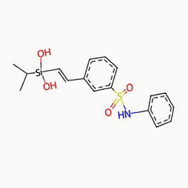 CC(C)[Si](O)(O)C=Cc1cccc(S(=O)(=O)Nc2ccccc2)c1